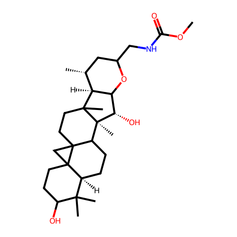 COC(=O)NCC1C[C@@H](C)[C@H]2C(O1)[C@H](O)[C@@]1(C)C3CC[C@H]4C(C)(C)C(O)CCC45CC35CCC21C